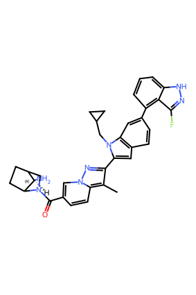 Cc1c(-c2cc3ccc(-c4cccc5[nH]nc(F)c45)cc3n2CC2CC2)nn2cc(C(=O)N3CC4CCC3[C@@H]4N)ccc12